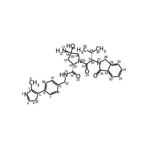 Cc1ncsc1-c1ccc(CNC(=O)[C@@H]2C[C@](N)(O)CN2C(=O)[C@H](C(C)C)N2Cc3ccccc3C2=O)cc1